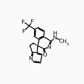 CNC1=NC(=O)[C@@]2(CCc3ncccc32)c2cc(C(F)(F)F)ccc21